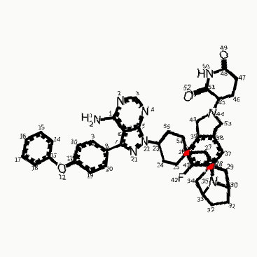 Nc1ncnc2c1c(-c1ccc(Oc3ccccc3)cc1)nn2C1CCC(CN2CC3CCC(C2)N3c2cc3c(cc2F)CN(C2CCC(=O)NC2=O)C3)CC1